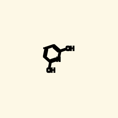 Oc1c[c]cc(O)n1